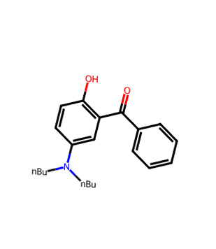 CCCCN(CCCC)c1ccc(O)c(C(=O)c2ccccc2)c1